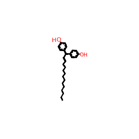 CCCCCCCCCCCCCCC(c1ccc(O)cc1)c1ccc(O)cc1